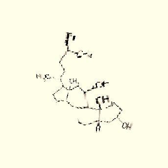 CC(C)[C@@H](C)CC[C@@H](C)C1CCC2C3CC[C@H]4CC(O)CCC4(C)C3[C@H](O)CC21C